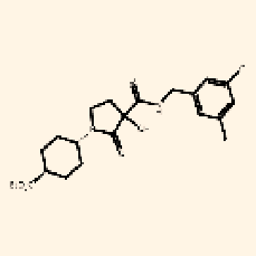 CCOC(=O)[C@H]1CC[C@H](N2CCC(O)(C(=O)NCc3cc(F)cc(Cl)c3)C2=O)CC1